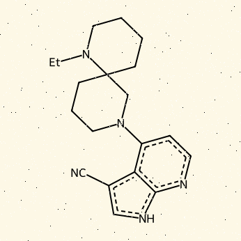 CCN1CCCCC12CCCN(c1ccnc3[nH]cc(C#N)c13)C2